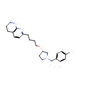 CCc1ccc([C@H](C(=O)O)N2CC[C@@H](OCCCCc3ccc4c(n3)NCCC4)C2)cc1